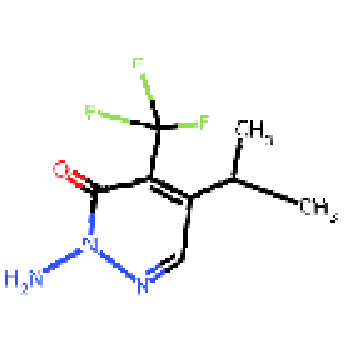 CC(C)c1cnn(N)c(=O)c1C(F)(F)F